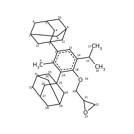 Cc1c(C23CC4CC(CC(C4)C2)C3)cc(C(C)C)c(OCC2CO2)c1C12CC3CC(CC(C3)C1)C2